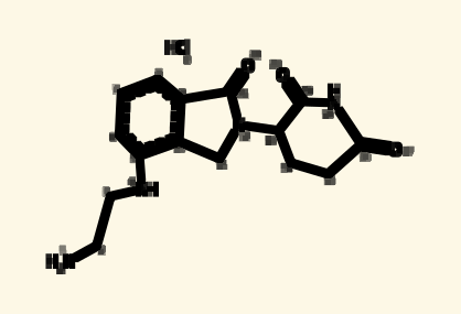 Cl.NCCNc1cccc2c1CN(C1CCC(=O)NC1=O)C2=O